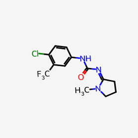 CN1CCCC1=NC(=O)Nc1ccc(Cl)c(C(F)(F)F)c1